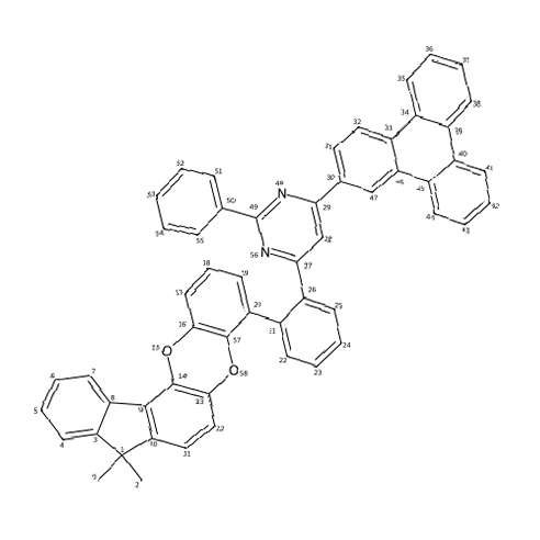 CC1(C)c2ccccc2-c2c1ccc1c2Oc2cccc(-c3ccccc3-c3cc(-c4ccc5c6ccccc6c6ccccc6c5c4)nc(-c4ccccc4)n3)c2O1